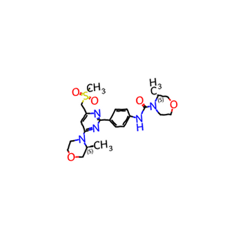 C[C@H]1COCCN1C(=O)Nc1ccc(-c2nc(CS(C)(=O)=O)cc(N3CCOC[C@@H]3C)n2)cc1